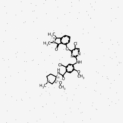 COc1cc(C(=O)N[C@H]2CCN(C)C[C@H]2OC)c(Cl)cc1Nc1ncc(Cl)c(Oc2cccc3c2C(=O)N(C)[C@H]3C)n1